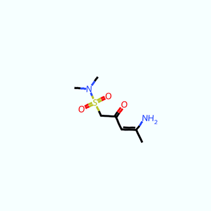 C/C(N)=C/C(=O)CS(=O)(=O)N(C)C